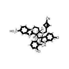 N#CC12CC(CN3[C@H]4CCn5c(nc6cc(C(=O)O)ccc65)[C@H]4[C@H](c4cccc(Cl)c4F)[C@]34C(=O)Nc3cc(Cl)ccc34)(C1)C2